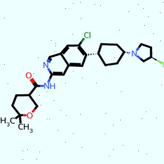 CC1(C)CCC(C(=O)Nc2cc3cc([C@H]4CC[C@@H](N5CC[C@@H](F)C5)CC4)c(Cl)cc3cn2)CO1